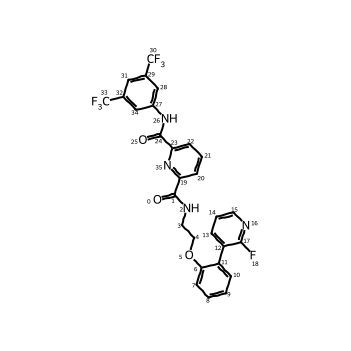 O=C(NCCOc1ccccc1-c1cccnc1F)c1cccc(C(=O)Nc2cc(C(F)(F)F)cc(C(F)(F)F)c2)n1